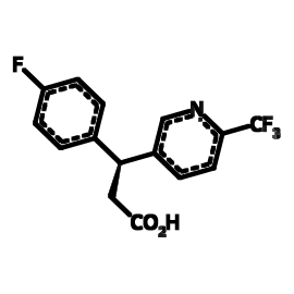 O=C(O)C[C@@H](c1ccc(F)cc1)c1ccc(C(F)(F)F)nc1